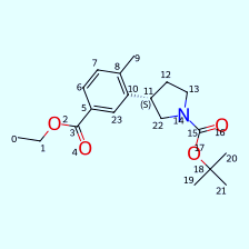 CCOC(=O)c1ccc(C)c([C@@H]2CCN(C(=O)OC(C)(C)C)C2)c1